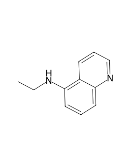 CCNc1cccc2ncccc12